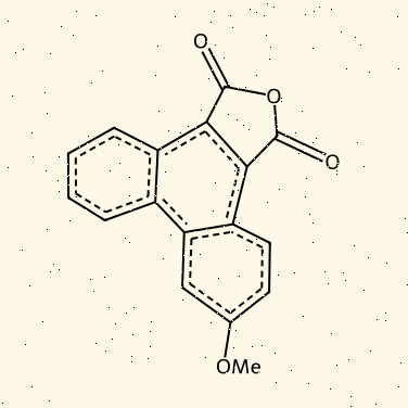 COc1ccc2c3c(c4ccccc4c2c1)C(=O)OC3=O